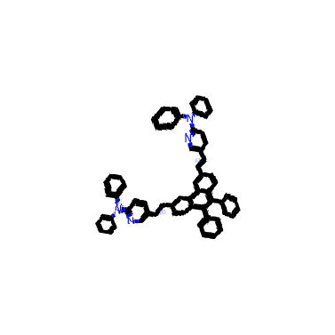 C(=C\c1ccc2c(-c3ccccc3)c(-c3ccccc3)c3ccc(/C=C/c4ccc(N(c5ccccc5)c5ccccc5)nc4)cc3c2c1)/c1ccc(N(c2ccccc2)c2ccccc2)nc1